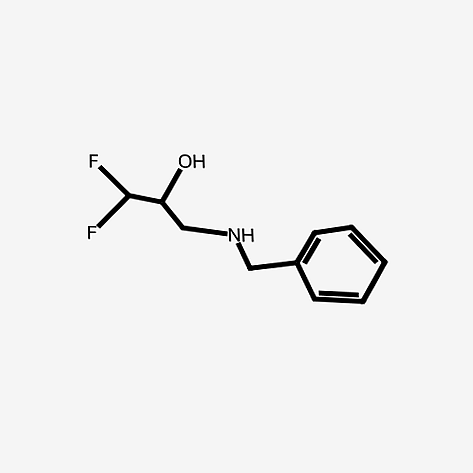 OC(CNCc1ccccc1)C(F)F